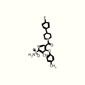 Cc1ccc(Oc2c(C(=O)N3CCC(c4ccc(F)cc4)CC3)cnc(S(N)(=O)=O)c2C)cc1